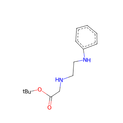 CC(C)(C)OC(=O)CNCCNc1ccccc1